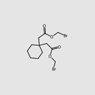 O=C(CC1(CC(=O)OCBr)CCCCC1)OCBr